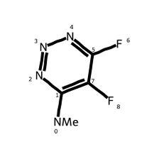 CNc1nnnc(F)c1F